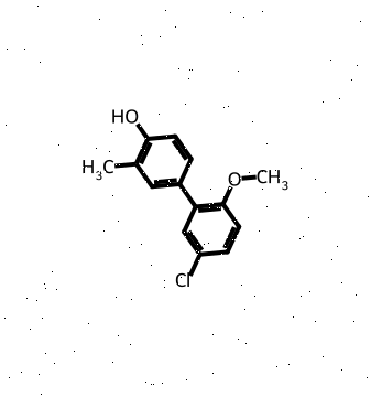 COc1ccc(Cl)cc1-c1ccc(O)c(C)c1